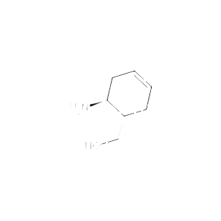 N[C@H]1CC=CC[C@@H]1CO